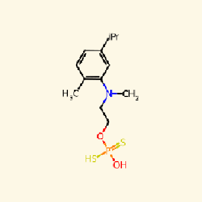 Cc1ccc(C(C)C)cc1N(C)CCOP(O)(=S)S